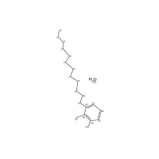 CCCCCCCCCCCCc1cccc(C)c1C.O